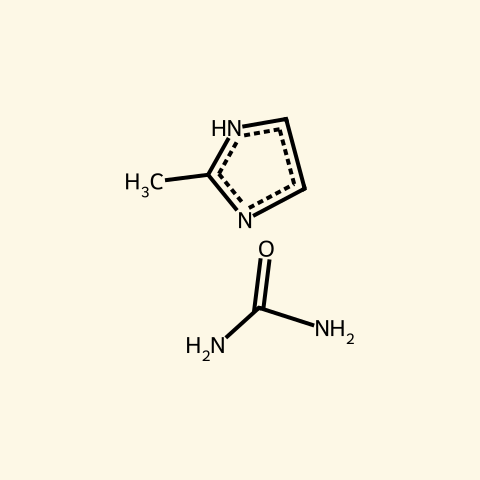 Cc1ncc[nH]1.NC(N)=O